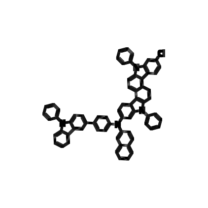 Clc1ccc2c3c4ccc5c(c4ccc3n(-c3ccccc3)c2c1)c1ccc(N(c2ccc(-c3ccc4c(c3)c3ccccc3n4-c3ccccc3)cc2)c2ccc3ccccc3c2)cc1n5-c1ccccc1